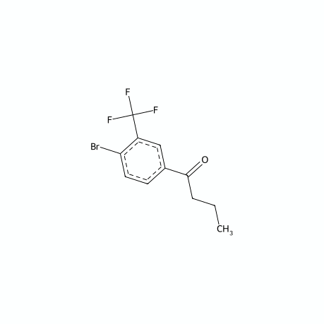 CCCC(=O)c1ccc(Br)c(C(F)(F)F)c1